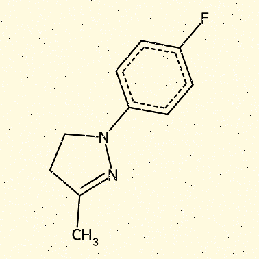 CC1=NN(c2ccc(F)cc2)CC1